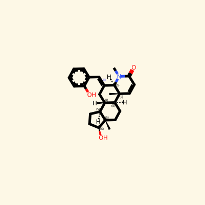 CN1C(=O)C=C[C@]2(C)[C@H]3CC[C@]4(C)[C@@H](O)CC[C@H]4[C@@H]3C/C(=C\c3ccccc3O)[C@@H]12